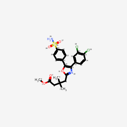 COC(=O)CC(C)(C)Cc1nc(-c2ccc(Cl)c(Cl)c2)c(-c2ccc(S(N)(=O)=O)cc2)o1